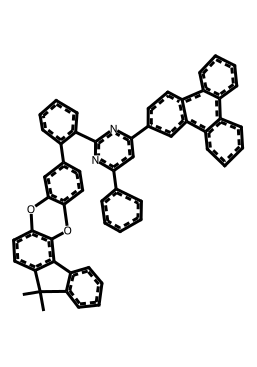 CC1(C)c2ccccc2-c2c1ccc1c2Oc2ccc(-c3ccccc3-c3nc(-c4ccccc4)cc(-c4ccc5c6ccccc6c6ccccc6c5c4)n3)cc2O1